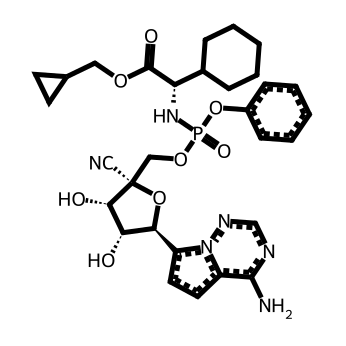 N#C[C@]1(COP(=O)(N[C@H](C(=O)OCC2CC2)C2CCCCC2)Oc2ccccc2)O[C@@H](c2ccc3c(N)ncnn23)[C@H](O)[C@@H]1O